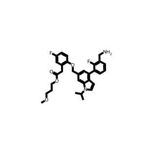 COCCCOC(=O)Cc1cc(F)ccc1OCc1cc(-c2cccc(CN)c2F)c2ccn(C(C)C)c2c1